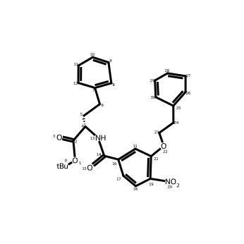 CC(C)(C)OC(=O)[C@H](CCc1ccccc1)NC(=O)c1ccc([N+](=O)[O-])c(OCCc2ccccc2)c1